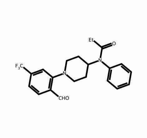 CCC(=O)N(c1ccccc1)C1CCN(c2cc(C(F)(F)F)ccc2C=O)CC1